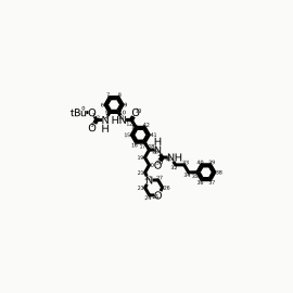 CC(C)(C)OC(=O)Nc1ccccc1NC(=O)c1ccc(C(CCCN2CCOCC2)NC(=O)NCCCc2ccccc2)cc1